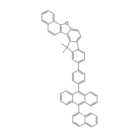 CC1(C)c2cc(-c3ccc(-c4c5ccccc5c(-c5cccc6ccccc56)c5ccccc45)cc3)ccc2-c2ccc3oc4c5ccccc5ccc4c3c21